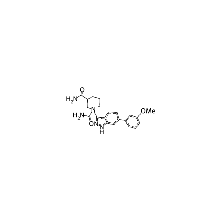 COc1cccc(-c2ccc3c([N+]4(C(N)=O)CCCC(C(N)=O)C4)n[nH]c3c2)c1